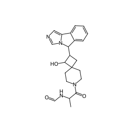 CC(NC=O)C(=O)N1CCC2(CC1)CC(C1c3ccccc3-c3cncn31)C2O